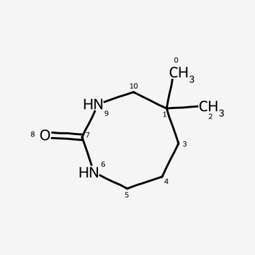 CC1(C)CCCNC(=O)NC1